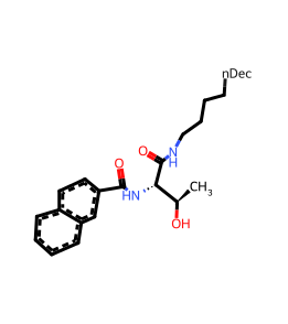 CCCCCCCCCCCCCCNC(=O)[C@@H](NC(=O)c1ccc2ccccc2c1)[C@@H](C)O